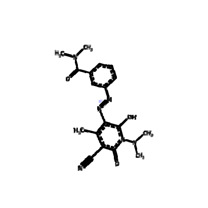 Cc1c(/N=N/c2cccc(C(=O)N(C)C)c2)c(O)n(N(C)C)c(=O)c1C#N